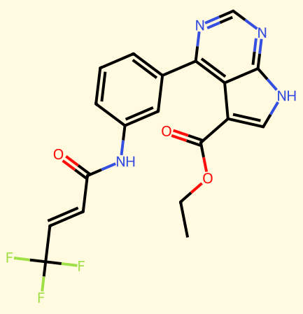 CCOC(=O)c1c[nH]c2ncnc(-c3cccc(NC(=O)C=CC(F)(F)F)c3)c12